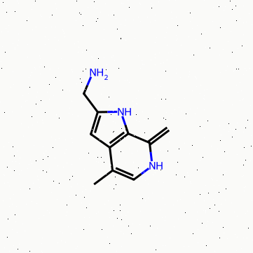 C=C1NC=C(C)c2cc(CN)[nH]c21